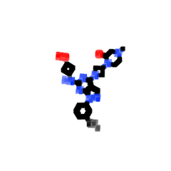 CN1CCN(C2CN(c3nc(N[C@H]4C[C@@H](O)C4)nc4c3cnn4-c3cccc(C(F)(F)F)c3)C2)C(=O)C1